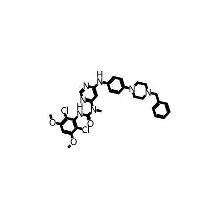 COc1cc(OC)c(Cl)c(NC(=O)N(C)c2cc(Nc3ccc(N4CCN(Cc5ccccc5)CC4)cc3)ncn2)c1Cl